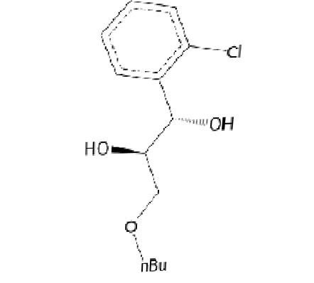 CCCCOC[C@@H](O)[C@@H](O)c1ccccc1Cl